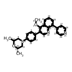 COc1c(-c2ccc(N3CC(C)O[C@@H](C)C3)cc2)cnc2c(-c3ccncc3)cccc12